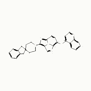 c1ccc2c(c1)CC1(CCN(c3nc4ccc(Sc5ccnc6ccccc56)c5ncc3n45)CC1)C2